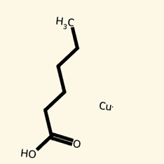 CCCCCC(=O)O.[Cu]